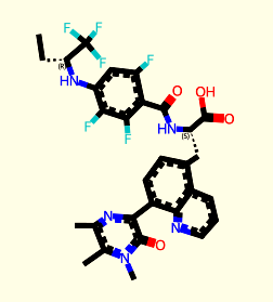 CC[C@@H](Nc1cc(F)c(C(=O)N[C@@H](Cc2ccc(-c3nc(C)c(C)n(C)c3=O)c3ncccc23)C(=O)O)c(F)c1F)C(F)(F)F